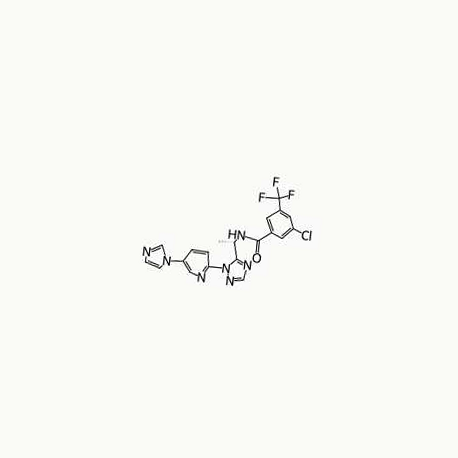 C[C@H](NC(=O)c1cc(Cl)cc(C(F)(F)F)c1)c1ncnn1-c1ccc(-n2ccnc2)cn1